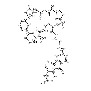 CS(=O)(=O)N1CCC(C(=O)NCC(=O)NC2NC(c3cccc(C4CCNC(C5(C(=O)NCCOCCOCCNc6ccc7c(c6)C(=O)N(C6CCC(=O)NC6=O)C7=O)CC5)C4)c3)CS2)C1